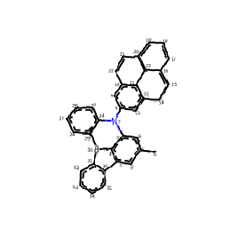 Cc1cc2c3c(c1)N(c1cc4c5c(c1)CC=C1C=CC=C(C=C4)C15)c1ccccc1B3c1ccccc1-2